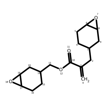 C=C(CC1CCC2OC2C1)C(=O)OCC1CCC2OC2C1